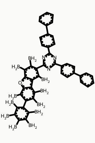 Bc1c(B)c(B)c(-c2c(B)c(B)c3c(oc4c(B)c(B)c(-c5nc(-c6ccc(-c7ccccc7)cc6)nc(-c6ccc(-c7ccccc7)cc6)n5)c(B)c43)c2B)c(B)c1B